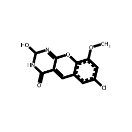 COc1cc(Cl)cc2c1OC1=NC(O)NC(=O)C1=C2